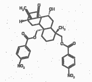 C=C1C(=O)[C@]23CC[C@H]1CC2[C@]1(COC(=O)c2ccc([N+](=O)[O-])cc2)CCC[C@@](C)(COC(=O)c2ccc([N+](=O)[O-])cc2)C1C[C@H]3O